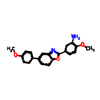 COc1ccc(-c2ccc3oc(-c4ccc(OC)c(N)c4)nc3c2)cc1